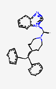 [CH2]C(N1CCC(=C(c2ccccc2)c2ccccc2)CC1)n1cnc2ccccc21